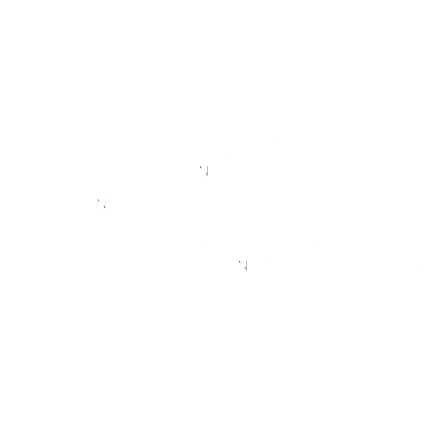 c1ccc2c(c1)-c1ccccc1C2c1ccc2c(c1)c1c3c4ccccc4n4c5ccc(-n6c7ccccc7c7ccccc76)cc5c(c5c6ccccc6n2c51)c34